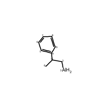 CC([CH2][AlH2])c1ccccc1